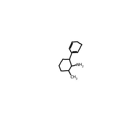 CC1CCCC(C2=CCCC=C2)C1N